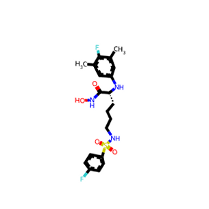 Cc1cc(N[C@H](CCCCNS(=O)(=O)c2ccc(F)cc2)C(=O)NO)cc(C)c1F